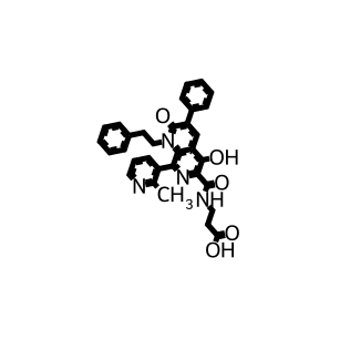 Cc1ncccc1-c1nc(C(=O)NCCC(=O)O)c(O)c2cc(-c3ccccc3)c(=O)n(CCc3ccccc3)c12